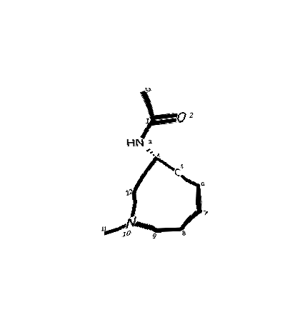 CC(=O)N[C@@H]1CCCCCN(C)C1